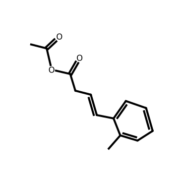 CC(=O)OC(=O)CC=Cc1ccccc1C